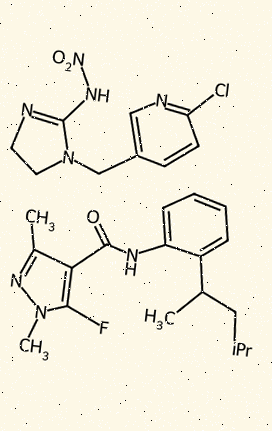 Cc1nn(C)c(F)c1C(=O)Nc1ccccc1C(C)CC(C)C.O=[N+]([O-])NC1=NCCN1Cc1ccc(Cl)nc1